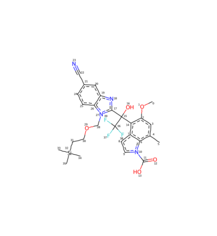 COc1cc(C)c2c(ccn2C(=O)O)c1C(O)(c1nc2cc(C#N)ccc2n1COCC[Si](C)(C)C)C(F)(F)F